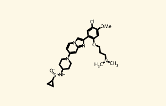 COc1cc(OCCCN(C)C)c(-c2cn3ccc(N4CCC(N[S+]([O-])C5CC5)CC4)cc3n2)cc1Cl